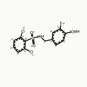 COc1ccc(CNS(=O)(=O)c2c(Cl)cccc2Cl)cc1F